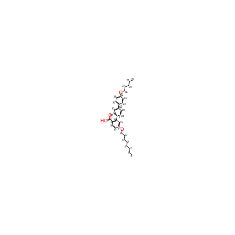 CCCCCCCCOc1ccc(C(=O)O)c(-c2ccc(-c3ccc(OCCCCC)cc3)cc2)c1